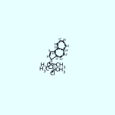 C[Si](C)(Cl)[Si](C)(C)C1C=Cc2c1ccc1ccccc21